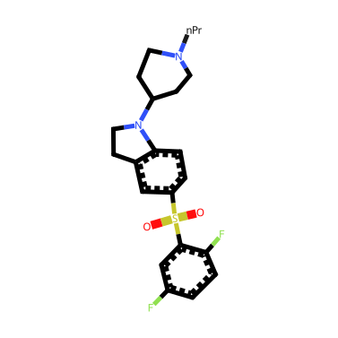 CCCN1CCC(N2CCc3cc(S(=O)(=O)c4cc(F)ccc4F)ccc32)CC1